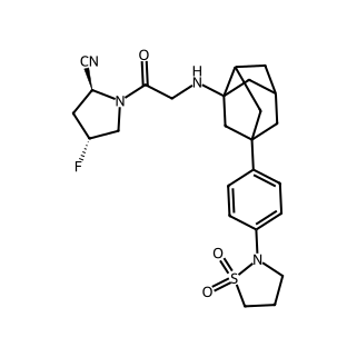 N#C[C@@H]1C[C@@H](F)CN1C(=O)CNC12CC3CC1CC(c1ccc(N4CCCS4(=O)=O)cc1)(C3)C2